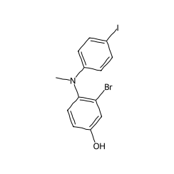 CN(c1ccc(I)cc1)c1ccc(O)cc1Br